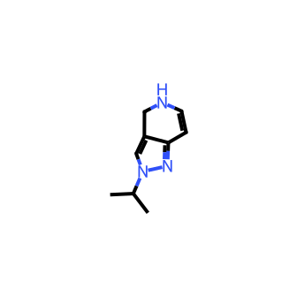 CC(C)n1cc2c(n1)C=CNC2